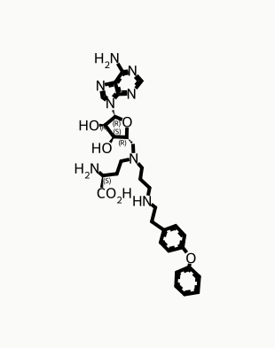 Nc1ncnc2c1ncn2[C@@H]1O[C@H](CN(CCCNCCc2ccc(Oc3ccccc3)cc2)CC[C@H](N)C(=O)O)[C@@H](O)[C@H]1O